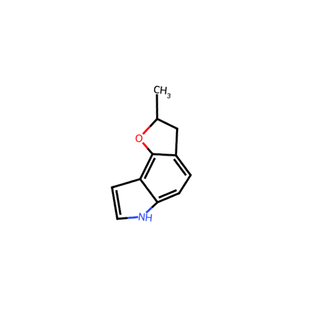 CC1Cc2ccc3[nH]ccc3c2O1